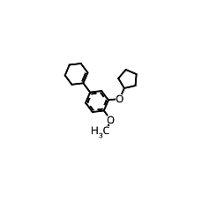 COc1ccc(C2=CCCCC2)cc1OC1CCCC1